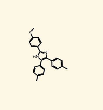 CSc1ccc(-c2nc(-c3ccc(C)cc3)c(-c3ccc(C)cc3)[nH]2)cc1